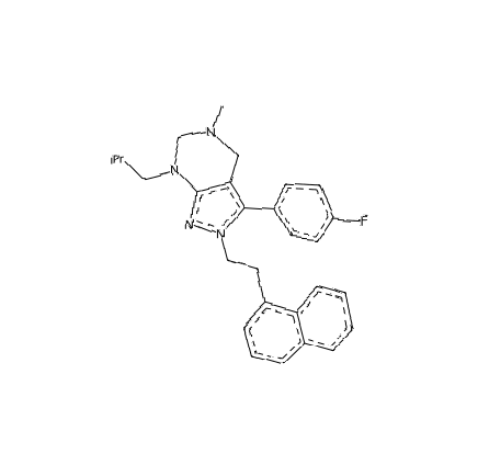 CC(C)CN1CN(C)Cc2c1nn(CCc1cccc3ccccc13)c2-c1ccc(F)cc1